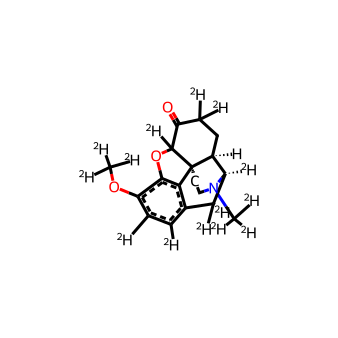 [2H]c1c([2H])c2c3c(c1OC([2H])([2H])[2H])OC1([2H])C(=O)C([2H])([2H])C[C@@H]4[C@@]31CCN(C([2H])([2H])[2H])[C@]4([2H])C2([2H])[2H]